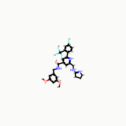 COc1cc(CNC(=O)c2cc(CNC3=NCCC3)nc(-c3ccc(F)cc3C(F)(F)F)c2)cc(OC)c1